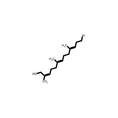 CC(=O)CC/C=C(\C)CC/C=C(\C)CCC=C(C)CO